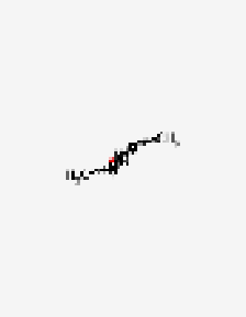 CCCCCCCc1ccc(-c2cnc(-c3ccc(OCCCCCC)c(F)c3)nc2)cc1